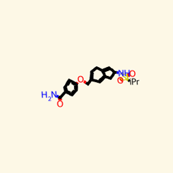 CC(C)S(=O)(=O)NC1C=C2CC=C(COc3ccc(C(N)=O)cc3)C=C2C1